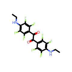 CCNc1c(F)c(F)c(C(=O)C(=O)c2c(F)c(F)c(NCC)c(F)c2F)c(F)c1F